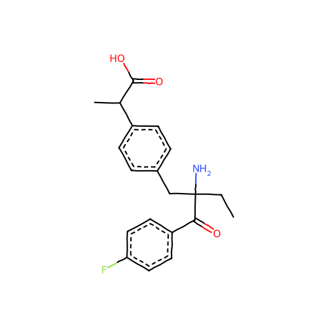 CCC(N)(Cc1ccc(C(C)C(=O)O)cc1)C(=O)c1ccc(F)cc1